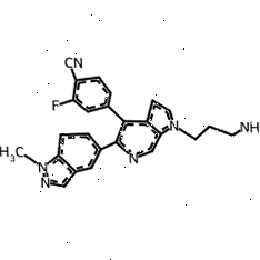 Cn1ncc2cc(-c3ncc4c(ccn4CCCN)c3-c3ccc(C#N)c(F)c3)ccc21